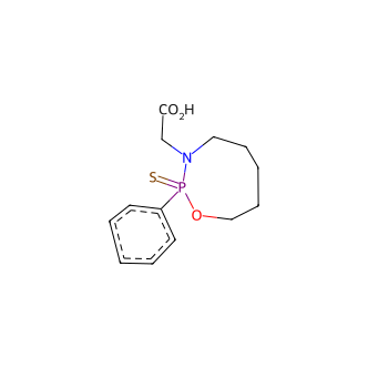 O=C(O)CN1CCCCCOP1(=S)c1ccccc1